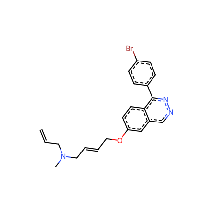 C=CCN(C)CC=CCOc1ccc2c(-c3ccc(Br)cc3)nncc2c1